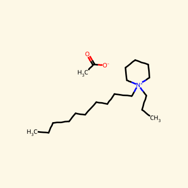 CC(=O)[O-].CCCCCCCCCC[N+]1(CCC)CCCCC1